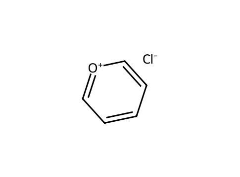 [Cl-].c1cc[o+]cc1